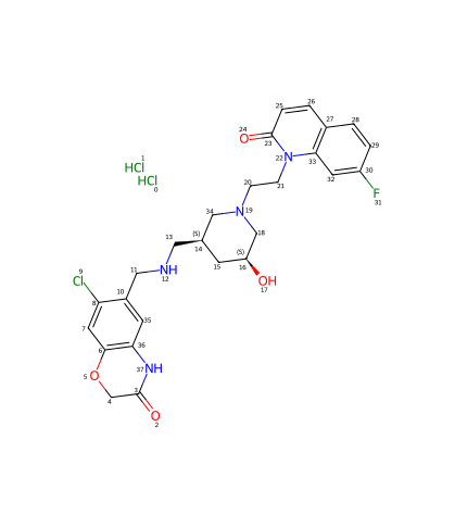 Cl.Cl.O=C1COc2cc(Cl)c(CNC[C@@H]3C[C@H](O)CN(CCn4c(=O)ccc5ccc(F)cc54)C3)cc2N1